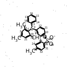 Cc1cc(C)c([S+](c2ccccc2)c2ccccc2)c(C)c1.Cc1ccc(S(=O)(=O)[O-])cc1